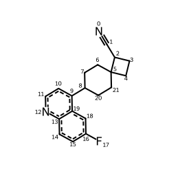 N#CC1CCC12CCC(c1ccnc3ccc(F)cc13)CC2